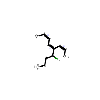 C\C=C/C=C(\C=C/C)C(F)CCC